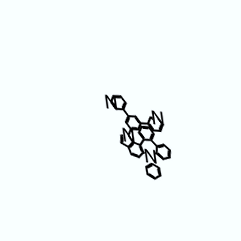 c1ccc(N2c3ccccc3-c3ccccc3-c3c2ccc2ccn(-c4cc(-c5cccnc5)cc(-c5cccnc5)c4)c32)cc1